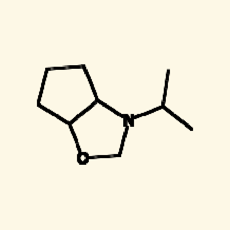 CC(C)N1COC2CCCC21